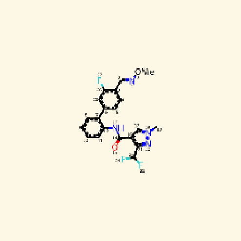 CON=Cc1ccc(-c2ccccc2NC(=O)c2cn(C)nc2C(F)F)cc1F